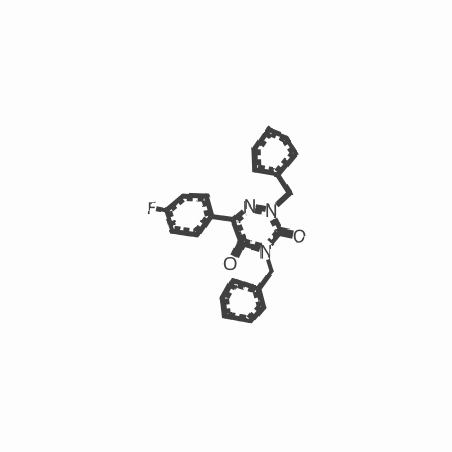 O=c1c(-c2ccc(F)cc2)nn(Cc2ccccc2)c(=O)n1Cc1ccccc1